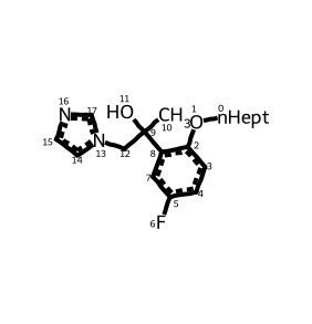 CCCCCCCOc1ccc(F)cc1C(C)(O)Cn1ccnc1